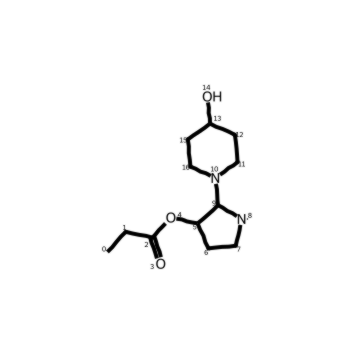 CCC(=O)OC1CC[N]C1N1CCC(O)CC1